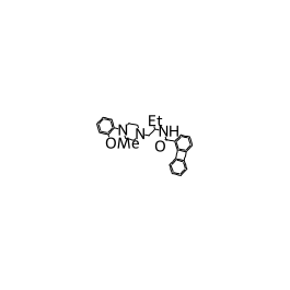 CCC(CN1CCN(c2ccccc2OC)CC1)NC(=O)c1cccc2c1-c1ccccc1-2